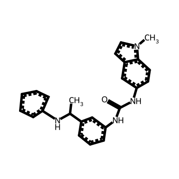 CC(Nc1ccccc1)c1cccc(NC(=O)Nc2ccc3c(ccn3C)c2)c1